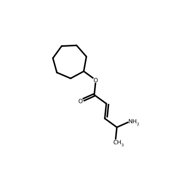 CC(N)/C=C/C(=O)OC1CCCCCC1